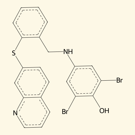 Oc1c(Br)cc(NCc2ccccc2Sc2ccc3cccnc3c2)cc1Br